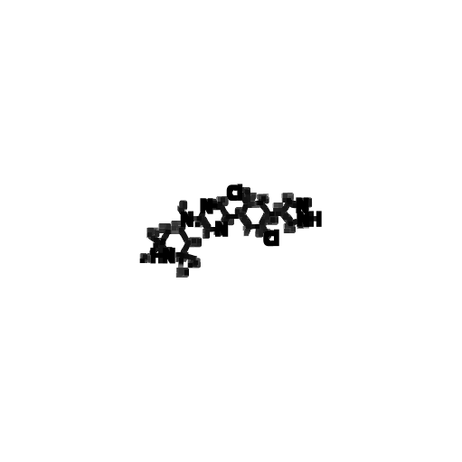 CN(c1cnc(-c2cc(Cl)c(-c3cn[nH]c3)cc2Cl)cn1)C1CC(C)(C)NC(C)(C)C1